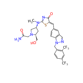 CN(C1=NC(=O)/C(=C/c2ccc3c(cnn3Cc3ccc(C(F)(F)F)cc3C(F)(F)F)c2)S1)[C@H]1C[C@@H](CO)N(CC(N)=O)C1